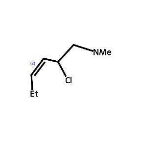 CC/C=C\C(Cl)CNC